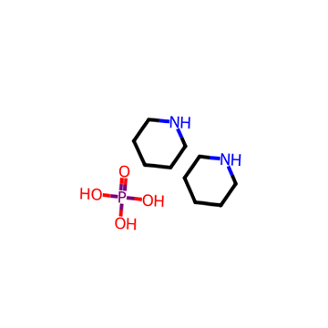 C1CCNCC1.C1CCNCC1.O=P(O)(O)O